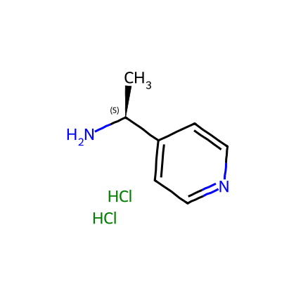 C[C@H](N)c1ccncc1.Cl.Cl